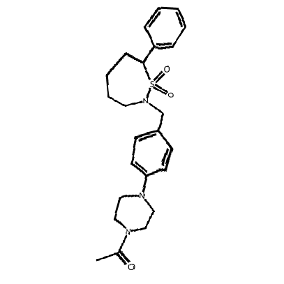 CC(=O)N1CCN(c2ccc(CN3CCCCC(c4ccccc4)S3(=O)=O)cc2)CC1